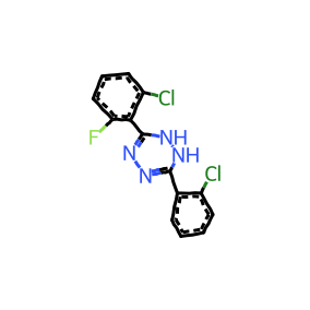 Fc1cccc(Cl)c1C1=NN=C(c2ccccc2Cl)NN1